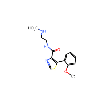 CCOc1ccccc1-c1scnc1C(=O)NCCNC(=O)O